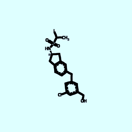 CC(I)S(=O)(=O)N[C@H]1Cc2ccc(Cc3cc(Cl)cc(CO)c3)cc2C1